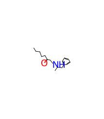 CCCCCC(=O)CCNC(C)Cc1ccccc1